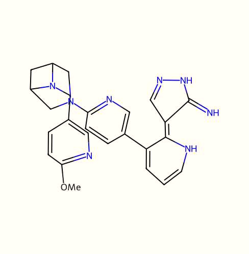 COc1ccc(CN2C3CC2CN(c2ccc(C4=CC=CN/C4=C4/C=NNC4=N)cn2)C3)cn1